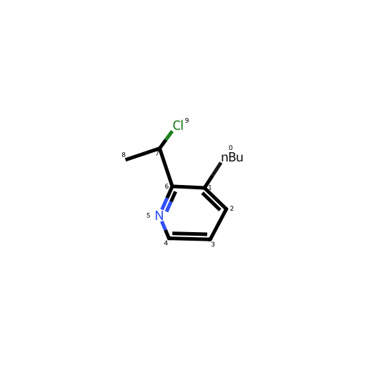 CCCCc1cccnc1C(C)Cl